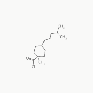 CC(C)CCC[C@H]1CC[C@@](C)(C(=O)Cl)CC1